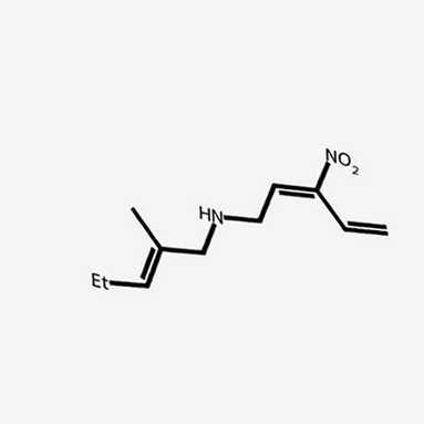 C=C/C(=C\CNC/C(C)=C/CC)[N+](=O)[O-]